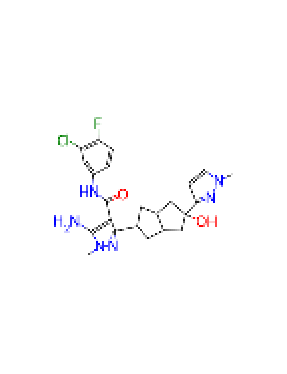 Cn1ccc(C2(O)CC3CC(c4nn(C)c(N)c4C(=O)Nc4ccc(F)c(Cl)c4)CC3C2)n1